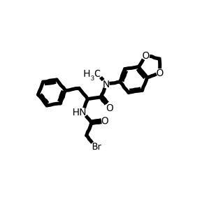 CN(C(=O)C(Cc1ccccc1)NC(=O)CBr)c1ccc2c(c1)OCO2